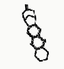 c1c2c(cc3nc4c(nc13)CCCC4)C1CNCC2C1